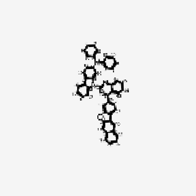 c1ccc(N(c2ccccc2)c2ccc3c4ccccc4n(-c4nc(-c5ccc6c(c5)oc5cc7ccccc7cc56)c5ccccc5n4)c3c2)cc1